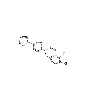 CC(=O)C(Cc1ccc(Cl)c(Cl)c1)c1ccc(-c2ccccc2)cc1